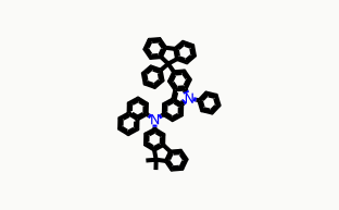 CC1(C)c2ccccc2-c2cc(N(c3ccc4c(c3)c3cc(C5(c6ccccc6)c6ccccc6-c6ccccc65)ccc3n4-c3ccccc3)c3cccc4ccccc34)ccc21